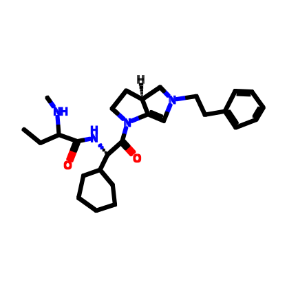 CCC(NC)C(=O)N[C@H](C(=O)N1CC[C@H]2CN(CCc3ccccc3)C=C21)C1CCCCC1